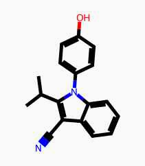 CC(C)c1c(C#N)c2ccccc2n1-c1ccc(O)cc1